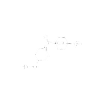 CC(C)(C)OC1CCN(C(=O)C23CCC(C(C)(C)C)(CC2)CC3)CC1